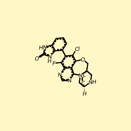 O=c1[nH]c2cccc(-c3c(Cl)c4c5c(ncnc5c3F)N3C[C@H]5CCCC3(CN5)CO4)c2[nH]1